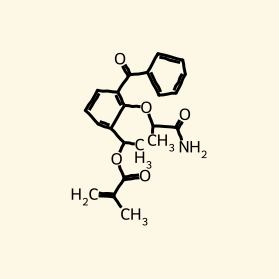 C=C(C)C(=O)OC(C)c1cccc(C(=O)c2ccccc2)c1OC(C)C(N)=O